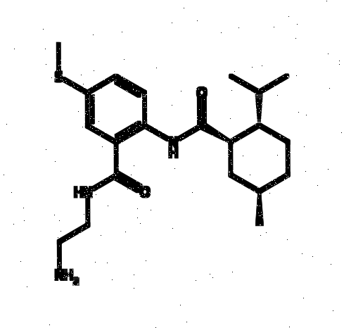 CSc1ccc(NC(=O)[C@@H]2C[C@H](C)CC[C@H]2C(C)C)c(C(=O)NCCN)c1